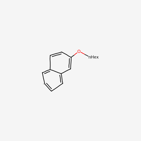 CCCCCCOc1ccc2c[c]ccc2c1